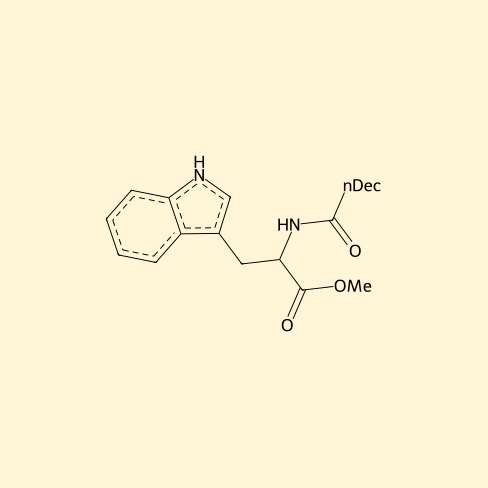 CCCCCCCCCCC(=O)NC(Cc1c[nH]c2ccccc12)C(=O)OC